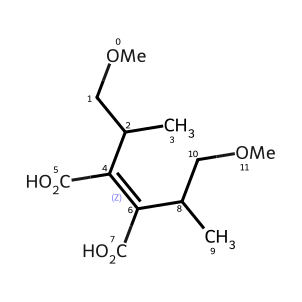 COCC(C)/C(C(=O)O)=C(/C(=O)O)C(C)COC